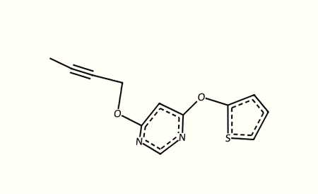 CC#CCOc1cc(Oc2cccs2)ncn1